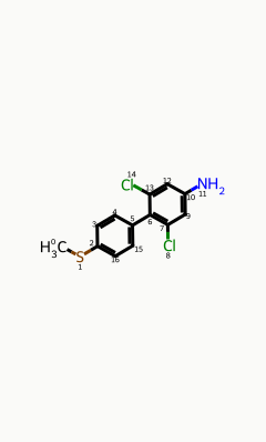 CSc1ccc(-c2c(Cl)cc(N)cc2Cl)cc1